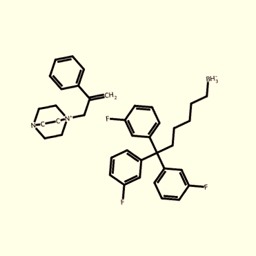 C=C(C[N+]12CCN(CC1)CC2)c1ccccc1.[BH3-]CCCCCC(c1cccc(F)c1)(c1cccc(F)c1)c1cccc(F)c1